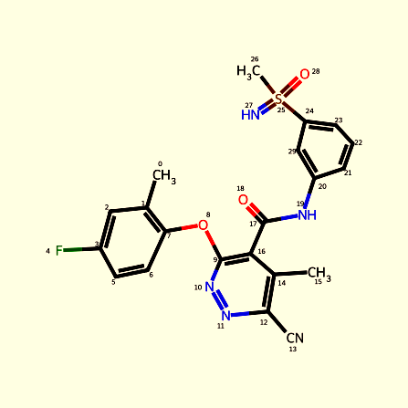 Cc1cc(F)ccc1Oc1nnc(C#N)c(C)c1C(=O)Nc1cccc(S(C)(=N)=O)c1